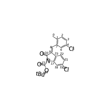 Cc1ccc(Cl)cc1C=C1C(=O)N(C(=O)OC(C)(C)C)c2cc(Cl)ccc21